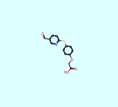 O=Cc1ccc(Sc2ccc(OCC(=O)O)cc2)nc1